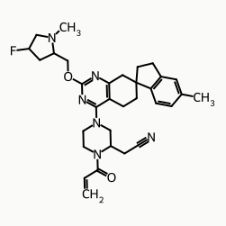 C=CC(=O)N1CCN(c2nc(OCC3CC(F)CN3C)nc3c2CCC2(CCc4cc(C)ccc42)C3)CC1CC#N